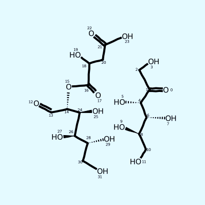 O=C(CO)[C@@H](O)[C@H](O)[C@H](O)CO.O=C[C@H](OC(=O)C(O)CC(=O)O)[C@@H](O)[C@H](O)[C@H](O)CO